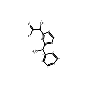 CC(C(=O)Cl)c1cccc(C(C)c2ccccc2)c1